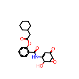 O=C(CC1CCCCC1)Oc1ccccc1C(=O)NC1=CC(=O)C2OC2C1O